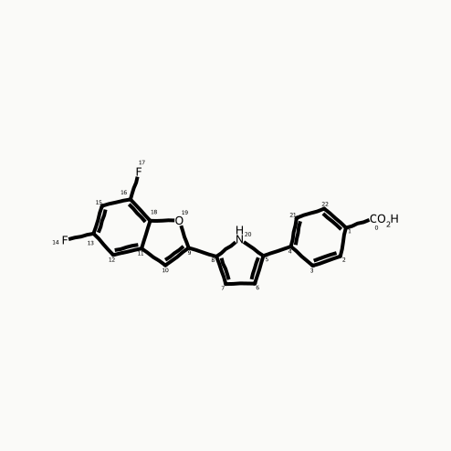 O=C(O)c1ccc(-c2ccc(-c3cc4cc(F)cc(F)c4o3)[nH]2)cc1